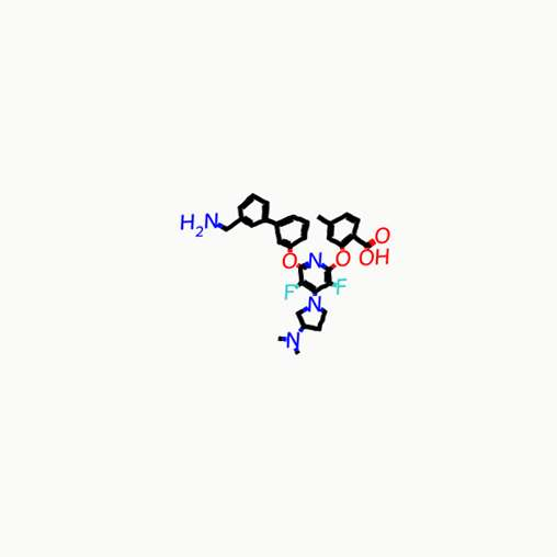 Cc1ccc(C(=O)O)c(Oc2nc(Oc3cccc(-c4cccc(CN)c4)c3)c(F)c(N3CCC(N(C)C)C3)c2F)c1